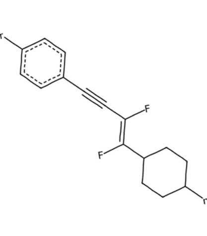 CCCc1ccc(C#CC(F)=C(F)C2CCC(CCC)CC2)cc1